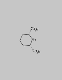 O=C(O)[C@@H]1CCC[C@H](C(=O)O)N1